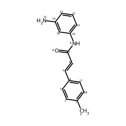 Cc1ccc(C=CC(=O)Nc2cccc(N)c2)cc1